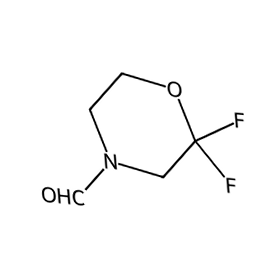 O=CN1CCOC(F)(F)C1